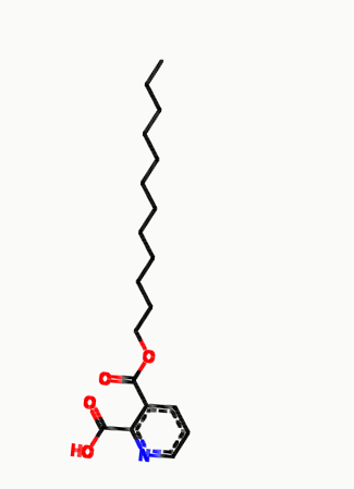 CCCCCCCCCCCCOC(=O)c1cccnc1C(=O)O